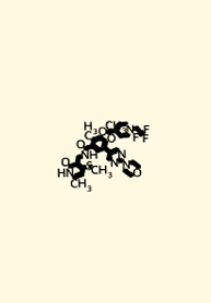 CSc1cc(C)[nH]c(=O)c1CNC(=O)c1cc(-c2cnc(N3CCOCC3)nc2)c2c(c1C)O[C@@](C)(C1CCN(CC(F)(F)F)CC1)O2